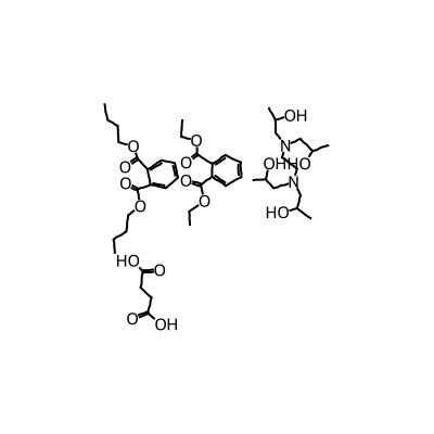 CC(O)CN(CCN(CC(C)O)CC(C)O)CC(C)O.CCCCOC(=O)c1ccccc1C(=O)OCCCC.CCOC(=O)c1ccccc1C(=O)OCC.O=C(O)CCC(=O)O